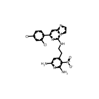 Nc1cc(CCNc2nc(-c3ccc(Cl)cc3Cl)cc3nccn23)c([N+](=O)[O-])c(N)n1